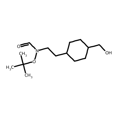 CC(C)(C)ON(C=O)CCC1CCC(CO)CC1